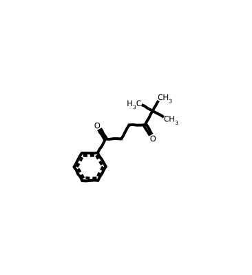 CC(C)(C)C(=O)CCC(=O)c1ccccc1